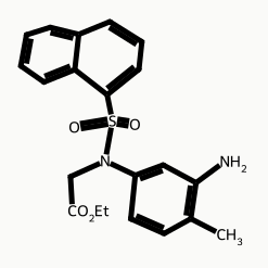 CCOC(=O)CN(c1ccc(C)c(N)c1)S(=O)(=O)c1cccc2ccccc12